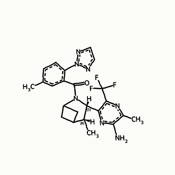 Cc1ccc(-n2nccn2)c(C(=O)N2C3CC(C3)[C@@H](C)[C@H]2c2nc(N)c(C)nc2C(F)(F)F)c1